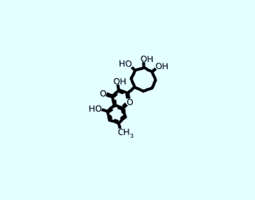 Cc1cc(O)c2c(=O)c(O)c(C3CCCC(O)C(O)C(O)C3)oc2c1